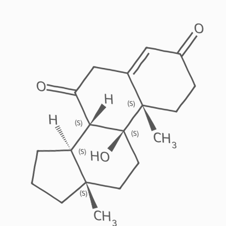 C[C@@]12CCC[C@H]1[C@@H]1C(=O)CC3=CC(=O)CC[C@]3(C)[C@]1(O)CC2